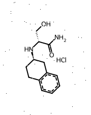 Cl.NC(=O)[C@@H](CO)N[C@@H]1CCc2ccccc2C1